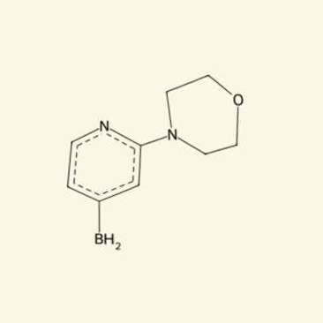 Bc1ccnc(N2CCOCC2)c1